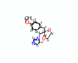 COc1ccc(CC2(Cn3ccnc3)OCCO2)cc1